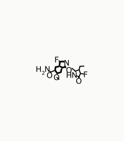 CCC1C(COc2ncc(F)c3cc(C(N)=O)c(OC)cc23)NC(=O)C1F